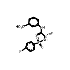 CCC[C@H](NS(=O)(=O)c1ccc(Br)cc1)C(=S)Nc1cccc(C(=O)O)c1